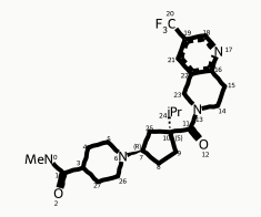 CNC(=O)C1CCN([C@@H]2CC[C@@](C(=O)N3CCc4ncc(C(F)(F)F)cc4C3)(C(C)C)C2)CC1